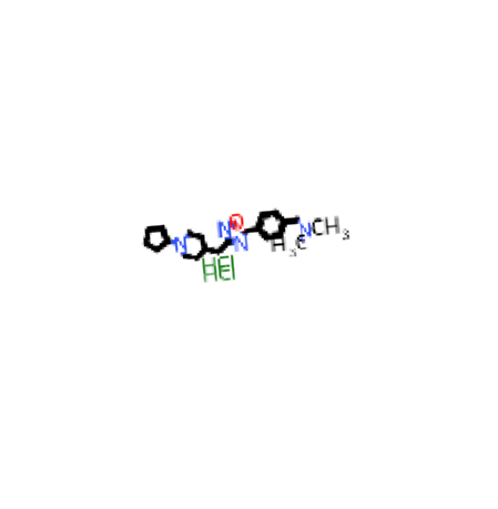 CN(C)Cc1ccc(-c2nc(CC3CCN(C4CCCC4)CC3)no2)cc1.Cl.Cl